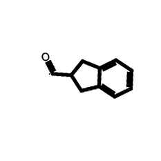 O=[C]C1Cc2ccccc2C1